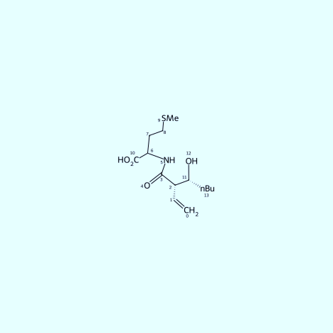 C=C[C@H](C(=O)NC(CCSC)C(=O)O)[C@H](O)CCCC